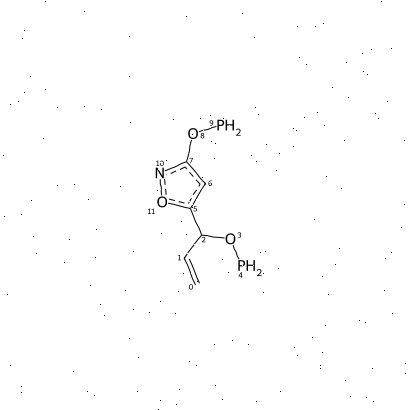 C=CC(OP)c1cc(OP)no1